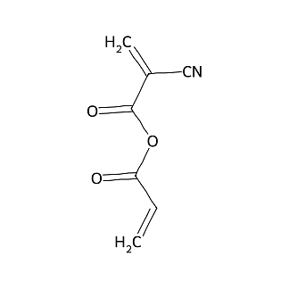 C=CC(=O)OC(=O)C(=C)C#N